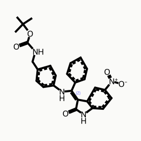 CC(C)(C)OC(=O)NCc1ccc(N/C(=C2\C(=O)Nc3ccc([N+](=O)[O-])cc32)c2ccccc2)cc1